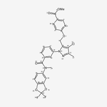 COC(=O)c1cnc(OCc2c(Cl)c(C)nn2-c2cccc(C(=O)N(C)c3ccc4c(c3)OC(F)(F)O4)c2)cn1